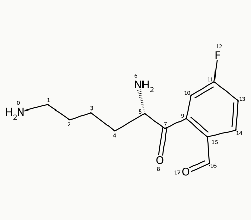 NCCCC[C@H](N)C(=O)c1cc(F)ccc1[C]=O